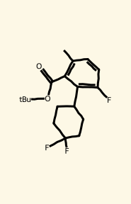 Cc1ccc(F)c(C2CCC(F)(F)CC2)c1C(=O)OC(C)(C)C